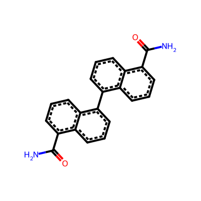 NC(=O)c1cccc2c(-c3cccc4c(C(N)=O)cccc34)cccc12